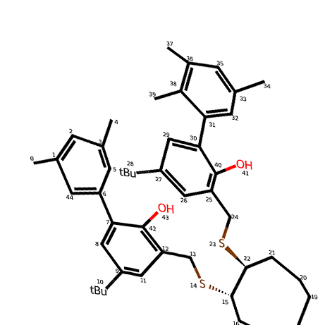 Cc1cc(C)cc(-c2cc(C(C)(C)C)cc(CS[C@H]3CCCCCC[C@@H]3SCc3cc(C(C)(C)C)cc(-c4cc(C)cc(C)c4C)c3O)c2O)c1